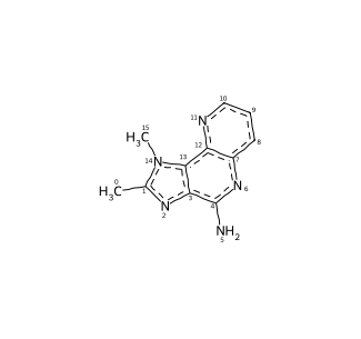 Cc1nc2c(N)nc3cccnc3c2n1C